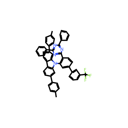 Cc1ccc(-c2ccc3c4ccc(-c5ccc(C)cc5)cc4n(-c4cc(-c5cccc(C(F)(F)F)c5)ccc4-c4nc(-c5ccccc5)nc(-c5ccccc5)n4)c3c2)cc1